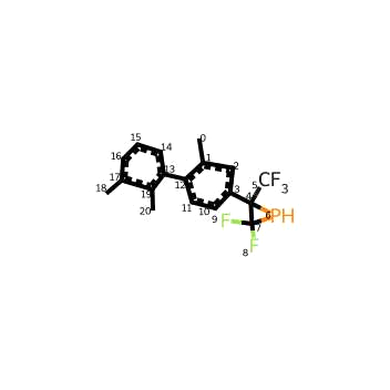 Cc1cc(C2(C(F)(F)F)PC2(F)F)ccc1-c1cccc(C)c1C